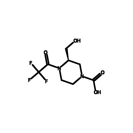 O=C(O)N1CCN(C(=O)C(F)(F)F)[C@@H](CO)C1